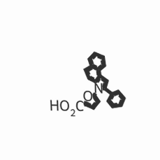 O=C(O)c1ccc(-n2c(-c3ccccc3)cc3c4ccccc4ccc32)o1